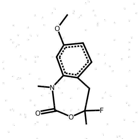 COc1ccc2c(c1)N(C)C(=O)OC(C)(F)C2